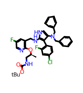 C[C@@H](CNC(=O)OC(C)(C)C)Oc1ncc(F)cc1CNc1[nH]cc(N(Cc2ccccc2)Cc2ccccc2)c1-c1ccc(Cl)cc1F